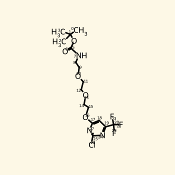 CC(C)(C)OC(=O)NCCOCCOCCOc1cc(C(F)(F)F)nc(Cl)n1